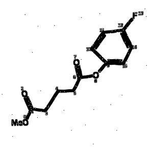 COC(=O)CCCC(=O)Oc1ccc(F)cc1